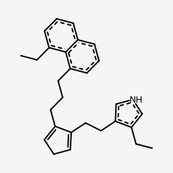 CCc1c[nH]cc1CCC1=CCC=C1CCCc1cccc2cccc(CC)c12